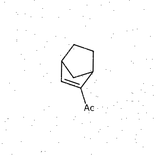 CC(=O)C1=CC2CCC1C2